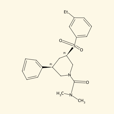 CCc1cccc(S(=O)(=O)[C@@H]2C[C@H](c3ccccc3)CN(C(=O)N(C)C)C2)c1